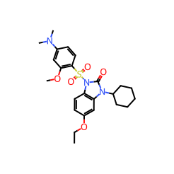 CCOc1ccc2c(c1)n(C1CCCCC1)c(=O)n2S(=O)(=O)c1ccc(N(C)C)cc1OC